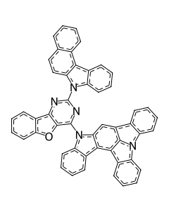 c1ccc2c(c1)ccc1c2c2ccccc2n1-c1nc(-n2c3ccccc3c3c4c5ccccc5n5c6ccccc6c(cc32)c45)c2oc3ccccc3c2n1